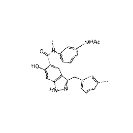 CC(=O)Nc1cccc(N(C)C(=O)c2cc3c(Cc4cccc(C)c4)n[nH]c3cc2O)c1